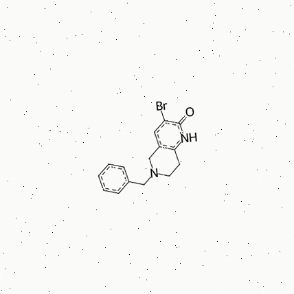 O=c1[nH]c2c(cc1Br)CN(Cc1ccccc1)CC2